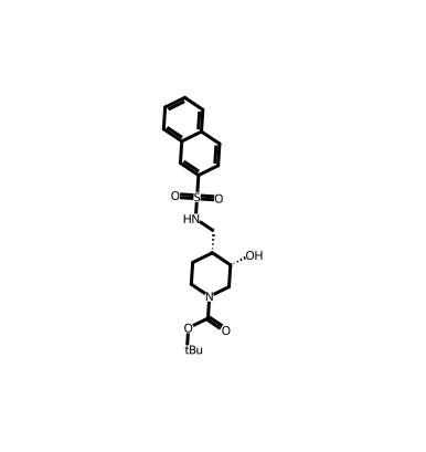 CC(C)(C)OC(=O)N1CC[C@H](CNS(=O)(=O)c2ccc3ccccc3c2)[C@H](O)C1